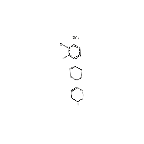 COc1ccc(C2CCC(C3=CCC(C)CC3)CC2)c(F)c1Cl